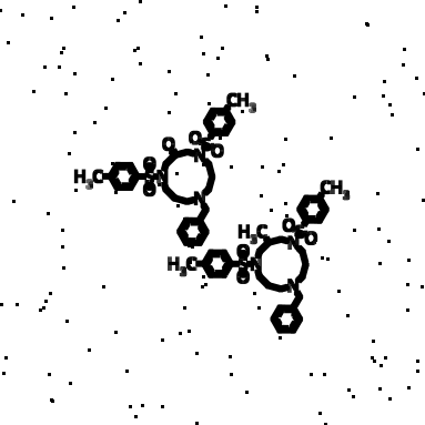 Cc1ccc(S(=O)(=O)N2CCCN(Cc3ccccc3)CCCN(S(=O)(=O)c3ccc(C)cc3)CC(=O)C2)cc1.Cc1ccc(S(=O)(=O)N2CCCN(Cc3ccccc3)CCCN(S(=O)(=O)c3ccc(C)cc3)CC(C)C2)cc1